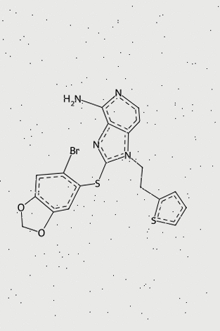 Nc1nccc2c1nc(Sc1cc3c(cc1Br)OCO3)n2CCc1cccs1